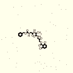 CC(NC(=O)CNC(=O)OCc1ccccc1)C(=O)NCC(=O)COC(=O)c1c(Cl)cccc1Cl